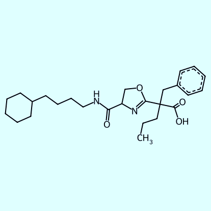 CCCC(Cc1ccccc1)(C(=O)O)C1=NC(C(=O)NCCCCC2CCCCC2)CO1